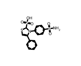 NS(=O)(=O)c1ccc(N2C(c3ccccc3)=CSC2S(=O)(=O)O)cc1